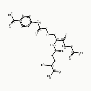 N[C@@H](CCC(=O)N[C@@H](CSCC(=O)Nc1ccc(C(=O)O)cc1)C(=O)NCC(=O)O)C(=O)O